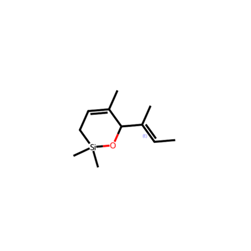 C/C=C(\C)C1O[Si](C)(C)CC=C1C